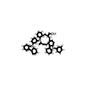 C=C1/C=C\c2c(ccc3c2c2ccccc2n3-c2cccc(C)c2)C/C(=C\O)Cc2ccccc2N1c1cccc(-n2c3ccccc3c3ccccc32)c1